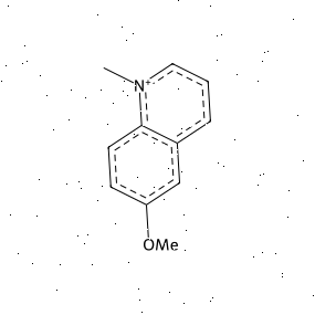 COc1ccc2c(ccc[n+]2C)c1